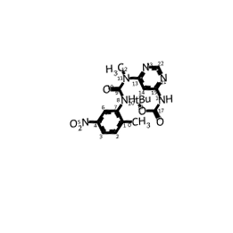 Cc1ccc([N+](=O)[O-])cc1NC(=O)N(C)c1cc(NC(=O)OC(C)(C)C)ncn1